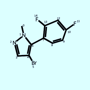 Cn1ncc(Br)c1-c1ccc(F)cc1F